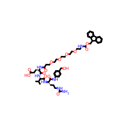 CC(C)[C@H](NC(=O)[C@@H](CCC(=O)O)NC(=O)CCOCCOCCOCCOCCNC(=O)OCC1c2ccccc2-c2ccccc21)C(=O)N[C@@H](CCCNC(N)=O)C(=O)Nc1ccc(CO)cc1